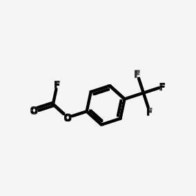 O=C(F)Oc1ccc(C(F)(F)F)cc1